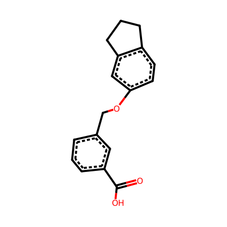 O=C(O)c1cccc(COc2ccc3c(c2)CCC3)c1